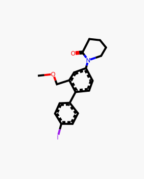 COCc1cc(N2CCCCC2=O)ccc1-c1ccc(I)cc1